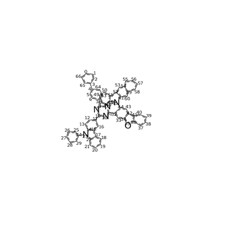 c1ccc(-c2ccc(-c3nc(-c4ccc5c(c4)c4ccccc4n5-c4ccccc4)nc(-c4cc5oc6ccccc6c5cc4-n4c5ccccc5c5cc6ccccc6cc54)n3)cc2)cc1